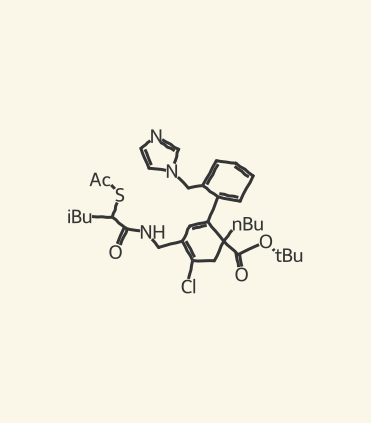 CCCCC1(C(=O)OC(C)(C)C)CC(Cl)=C(CNC(=O)C(SC(C)=O)C(C)CC)C=C1c1ccccc1Cn1ccnc1